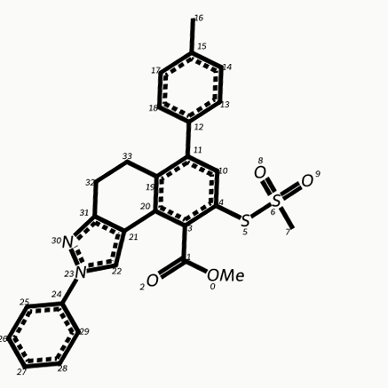 COC(=O)c1c(SS(C)(=O)=O)cc(-c2ccc(C)cc2)c2c1-c1cn(-c3ccccc3)nc1CC2